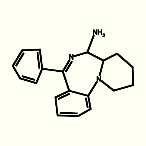 NC1N=C(c2ccccc2)c2ccccc2N2CCCCC12